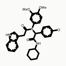 COc1ccc(N(C(=O)Cc2c[nH]c3ccccc23)C(C(=O)NC2CCCCC2)c2ccc(Cl)cc2)cc1OC